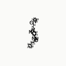 O=C(CCCn1cnc2cc(-c3noc(CCC4CCCC4)n3)ccc21)N1CCCC1